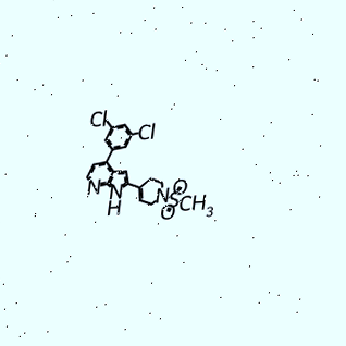 CS(=O)(=O)N1CC=C(c2cc3c(-c4cc(Cl)cc(Cl)c4)ccnc3[nH]2)CC1